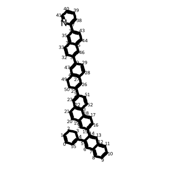 C1=CCCC(c2cc3ccccc3cc2-c2ccc3c(ccc4cc(C5=Cc6ccc(-c7ccc8cc(-c9ccccn9)ccc8c7)cc6CC5)ccc43)c2)=C1